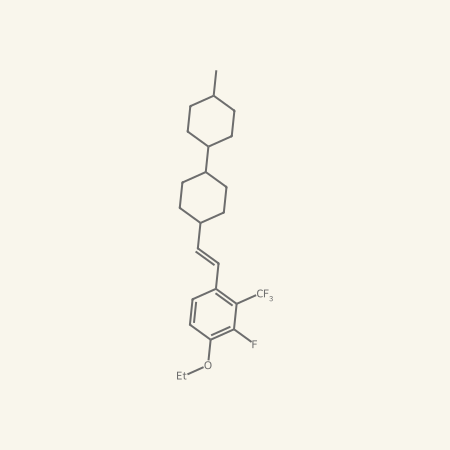 CCOc1ccc(/C=C/C2CCC(C3CCC(C)CC3)CC2)c(C(F)(F)F)c1F